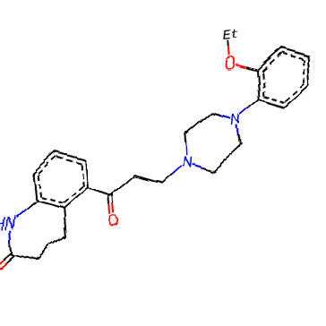 CCOc1ccccc1N1CCN(CCC(=O)c2cccc3c2CCC(=O)N3)CC1